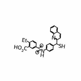 CCc1ccc(S(=O)(=O)Nc2ccc(C(S)c3ccc4ccccc4n3)cc2)cc1C(=O)O